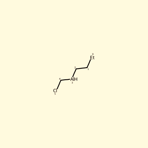 CCC[CH2][AlH][CH2]Cl